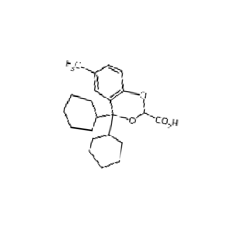 O=C(O)C1Oc2ccc(C(F)(F)F)cc2C(C2CCCCC2)(C2CCCCC2)O1